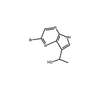 CC(O)c1c[nH]c2ncc(Br)nc12